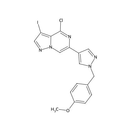 COc1ccc(Cn2cc(-c3cn4ncc(I)c4c(Cl)n3)cn2)cc1